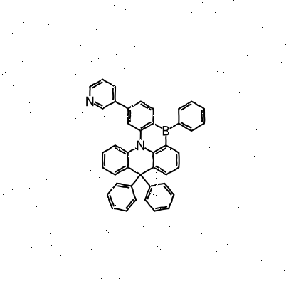 c1ccc(B2c3ccc(-c4cccnc4)cc3N3c4ccccc4C(c4ccccc4)(c4ccccc4)c4cccc2c43)cc1